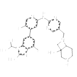 Cc1nc2c(F)cc(-c3cc(Nc4ncc(CN5CC6(C)CNCCC56)cn4)ncc3F)cc2n1C(C)C